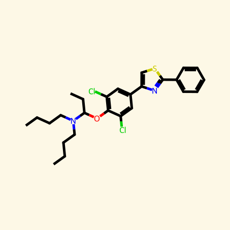 CCCCN(CCCC)C(CC)Oc1c(Cl)cc(-c2csc(-c3ccccc3)n2)cc1Cl